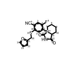 N#Cc1cc(F)c([N+]23CCCCC2C(=O)NC3=O)cc1SCc1ccco1